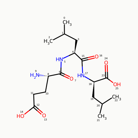 CC(C)C[C@H](NC(=O)[C@@H](N)CCC(=O)O)C(=O)N[C@H](CC(C)C)C(=O)O